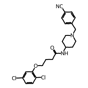 N#Cc1ccc(CN2CCC(NC(=O)CCCOc3cc(Cl)ccc3Cl)CC2)cc1